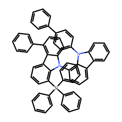 c1ccc(-c2ccc(-n3c4ccccc4c4cccc(-n5c6cccc(-c7ccccc7)c6c6cccc([Si](c7ccccc7)(c7ccccc7)c7ccccc7)c65)c43)cc2)cc1